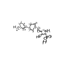 Cc1cccc(-c2ccc(CO[C@@H]3CN[C@H](C(=O)O)[C@H]3O)cc2)c1